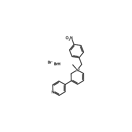 Br.C[N+]1(Cc2ccc([N+](=O)[O-])cc2)C=CC=C(c2ccncc2)C1.[Br-]